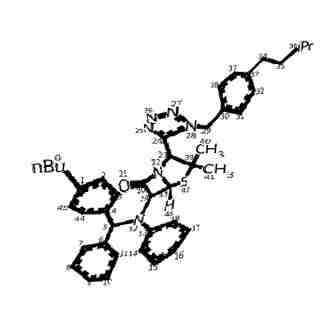 CCCCc1ccc(C(c2ccccc2)N(c2ccccc2)C2C(=O)N3C(c4nnnn4Cc4ccc(CCC(C)C)cc4)C(C)(C)S[C@H]23)cc1